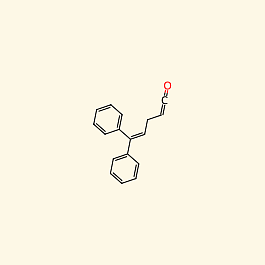 O=C=CCC=C(c1ccccc1)c1ccccc1